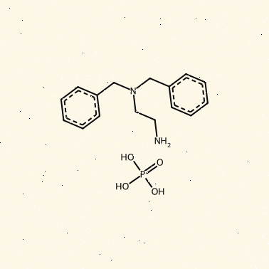 NCCN(Cc1ccccc1)Cc1ccccc1.O=P(O)(O)O